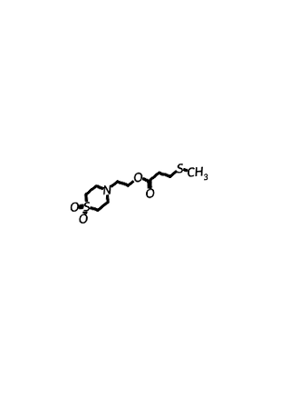 CSCCC(=O)OCCN1CCS(=O)(=O)CC1